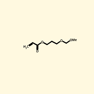 C=CC(=O)OCCCOCOC